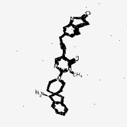 Cn1c(N2CCC3(CC2)Cc2ccccc2[C@H]3N)ncc(C#CCc2ccc3c(c2)=NC(=O)C=3)c1=O